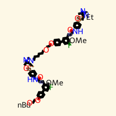 CCCCOCCOc1ccc(-c2cc(F)c(OC)c(/C=C/C(=O)Nc3ccc([S@@+]([O-])Cc4c(C)ncn4CCCCCCOCCOc4ccc(-c5cc(F)c(OC)c(/C=C/C(=O)Nc6ccc([S@+]([O-])Cc7c(C)ncn7CC)cc6)c5)cc4)cc3)c2)cc1